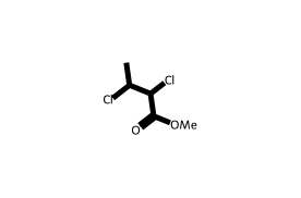 COC(=O)C(Cl)C(C)Cl